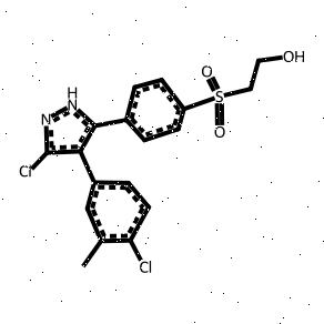 Cc1cc(-c2c(Cl)n[nH]c2-c2ccc(S(=O)(=O)CCO)cc2)ccc1Cl